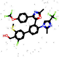 CSc1cc(-c2ccc(-n3cc(C(F)(F)F)nc3C)c(-c3oc(C)nc3-c3ccc(OC(F)F)cc3)c2)cc(F)c1CO